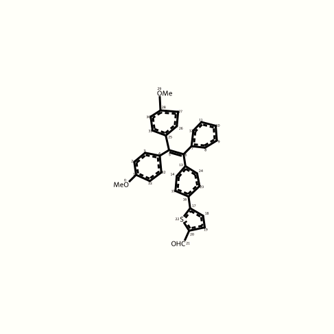 COc1ccc(C(=C(c2ccccc2)c2ccc(-c3ccc(C=O)s3)cc2)c2ccc(OC)cc2)cc1